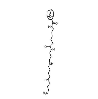 NCCCNCCCCNCCCNC(=O)CCCCCNC(=O)C1C2CC3CC(C2)C1C3